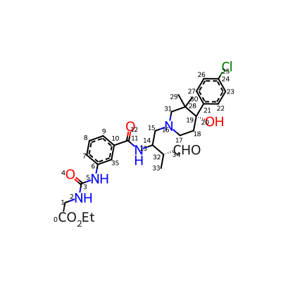 CCOC(=O)CNC(=O)Nc1cccc(C(=O)NC(CN2CC[C@](O)(c3ccc(Cl)cc3)C(C)(C)C2)[C@@H](C)C=O)c1